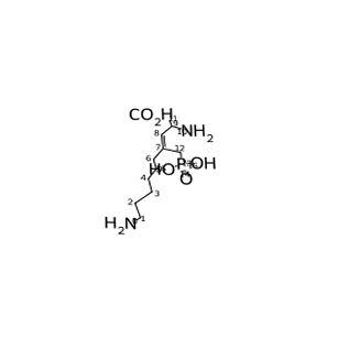 NCCCCCC/C(=C/C(N)C(=O)O)CP(=O)(O)O